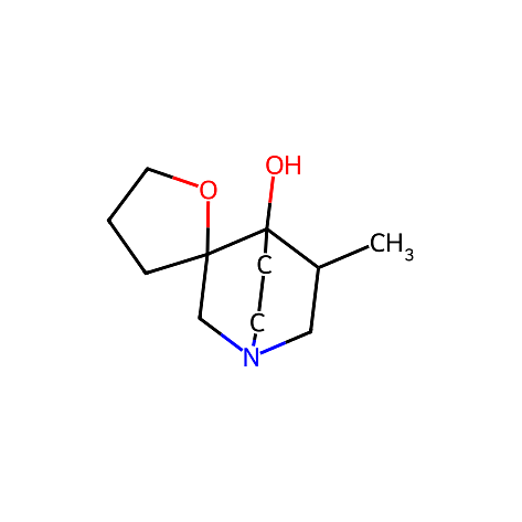 CC1CN2CCC1(O)C1(CCCO1)C2